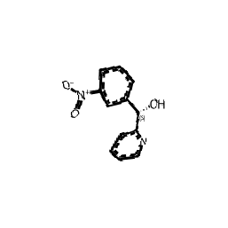 O=[N+]([O-])c1cccc([C@H](O)c2ccccn2)c1